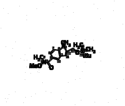 CON(C)C(=O)c1ccc2c(c1)cc(CO[Si](C)(C)C(C)(C)C)n2C